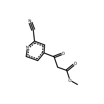 COC(=O)CC(=O)c1ccnc(C#N)c1